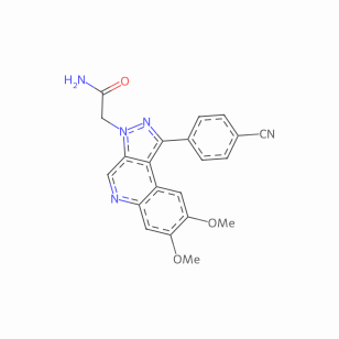 COc1cc2ncc3c(c(-c4ccc(C#N)cc4)nn3CC(N)=O)c2cc1OC